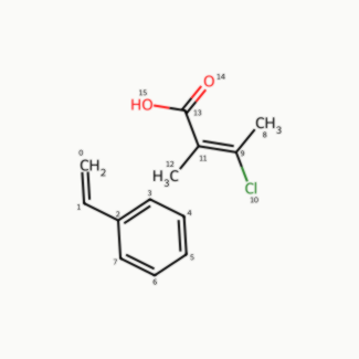 C=Cc1ccccc1.CC(Cl)=C(C)C(=O)O